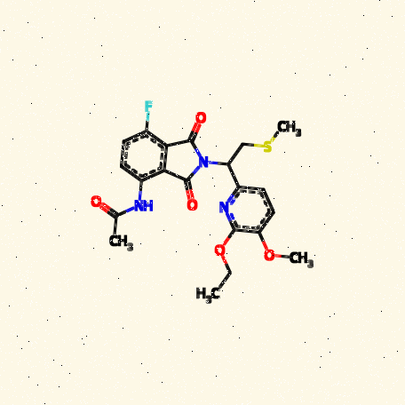 CCOc1nc(C(CSC)N2C(=O)c3c(F)ccc(NC(C)=O)c3C2=O)ccc1OC